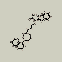 NC(=O)N(CCCCN1CCCN(c2cccc3c2OCCC3)CC1)c1cc2ccccc2o1